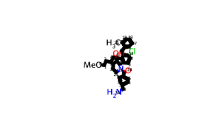 COCCCCC(O)(c1cccc(Cl)c1Cc1ccccc1C)C1CCCN(C(=O)c2ccc(CN)cc2)C1